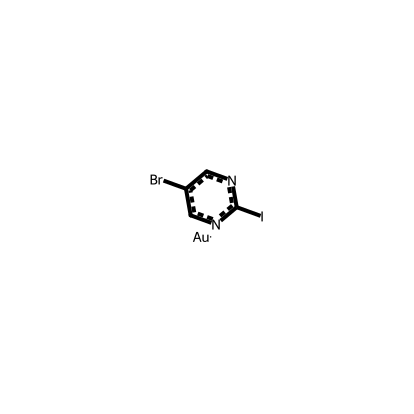 Brc1cnc(I)nc1.[Au]